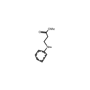 COC(=O)CCN(C)c1ccccc1